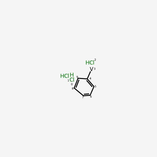 Cl.Cl.Cl.[V][c]1ccccc1